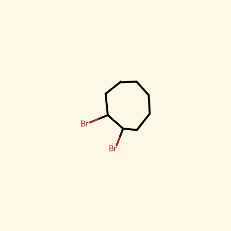 BrC1C[CH]CCCCC1Br